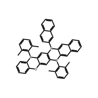 Cc1cccc(C)c1B1c2ccccc2Oc2cc3c(cc21)N(c1ccc2ccccc2c1)c1cc2ccccc2cc1B3c1c(C)cccc1C